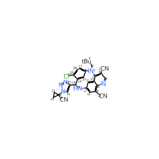 CC(C)(C)CNc1c(C#N)cnc2c(C#N)cc(N[C@H](c3cn(C4(C#N)CC4)nn3)c3ccccc3Cl)cc12